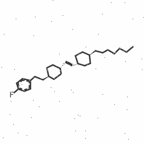 CCCCCCC[C@H]1CC[C@H](C=C[C@H]2CC[C@H](CCc3ccc(F)cc3)CC2)CC1